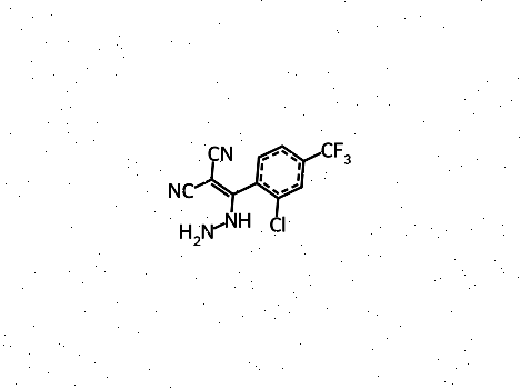 N#CC(C#N)=C(NN)c1ccc(C(F)(F)F)cc1Cl